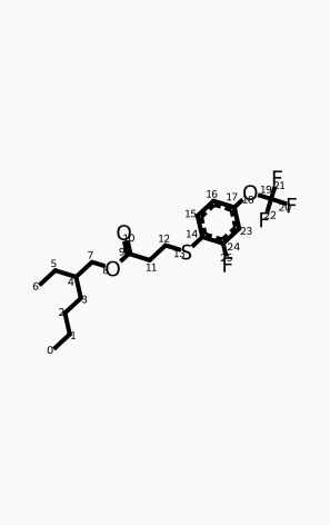 CCCCC(CC)COC(=O)CCSc1ccc(OC(F)(F)F)cc1F